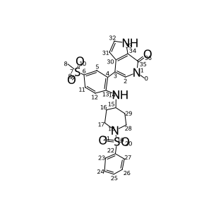 Cn1cc(-c2cc(S(C)(=O)=O)ccc2NC2CCN(S(=O)(=O)c3ccccc3)CC2)c2cc[nH]c2c1=O